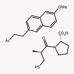 COc1ccc2cc(CCC(C)=O)ccc2c1.C[C@H](CS)C(=O)N1CCC[C@H]1C(=O)O